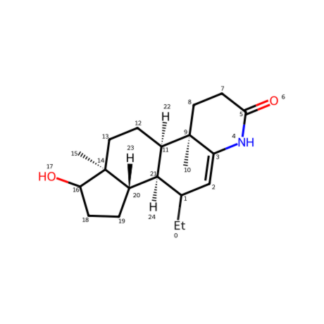 CCC1C=C2NC(=O)CC[C@]2(C)[C@@H]2CC[C@]3(C)C(O)CC[C@H]3[C@H]12